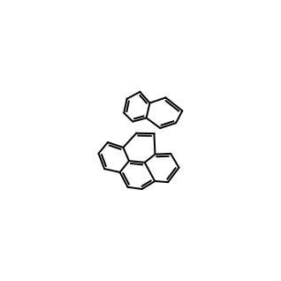 c1cc2ccc3cccc4ccc(c1)c2c34.c1ccc2ccccc2c1